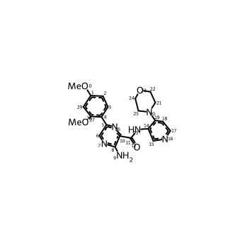 COc1ccc(-c2cnc(N)c(C(=O)Nc3cnccc3N3CCOCC3)n2)c(OC)c1